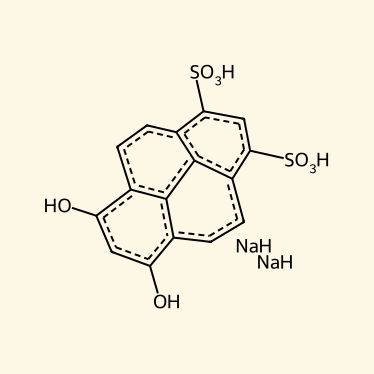 O=S(=O)(O)c1cc(S(=O)(=O)O)c2ccc3c(O)cc(O)c4ccc1c2c43.[NaH].[NaH]